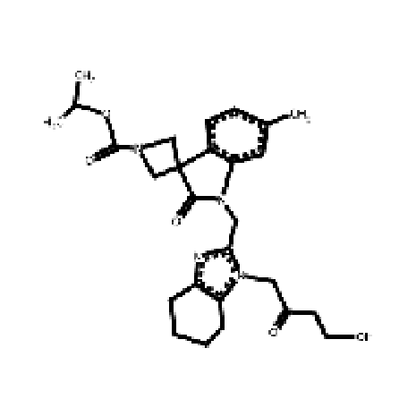 Cc1ccc2c(c1)N(Cc1nc3c(n1CC(=O)CCO)CCCC3)C(=O)C21CN(C(=O)OC(C)C)C1